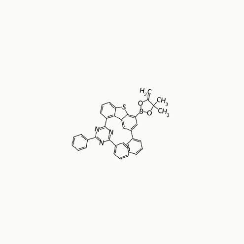 C=C1OB(c2cc(-c3ccccc3)cc3c2sc2cccc(-c4nc(-c5ccccc5)nc(-c5ccccc5)n4)c23)OC1(C)C